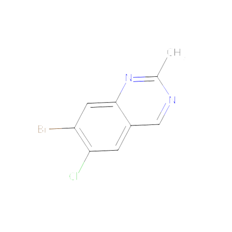 Cc1ncc2cc(Cl)c(Br)cc2n1